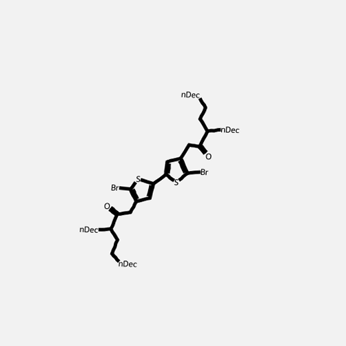 CCCCCCCCCCCCC(CCCCCCCCCC)C(=O)Cc1cc(-c2cc(CC(=O)C(CCCCCCCCCC)CCCCCCCCCCCC)c(Br)s2)sc1Br